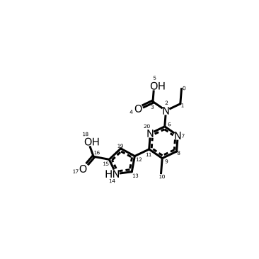 CCN(C(=O)O)c1ncc(C)c(-c2c[nH]c(C(=O)O)c2)n1